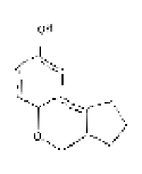 OC1=CC2=C3CCCC3COC2C=C1